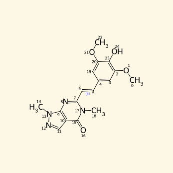 COc1cc(/C=C/c2nc3c(cnn3C)c(=O)n2C)cc(OC)c1O